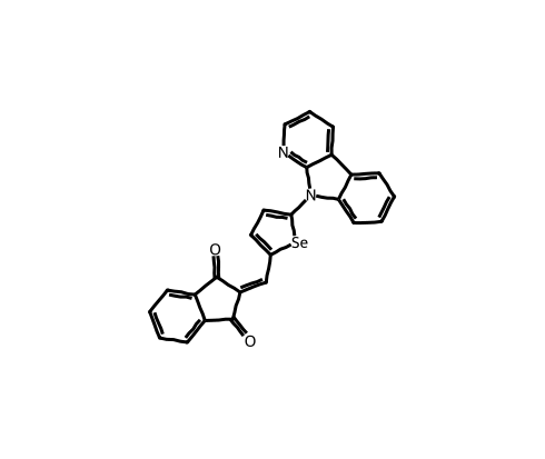 O=C1C(=Cc2ccc(-n3c4ccccc4c4cccnc43)[se]2)C(=O)c2ccccc21